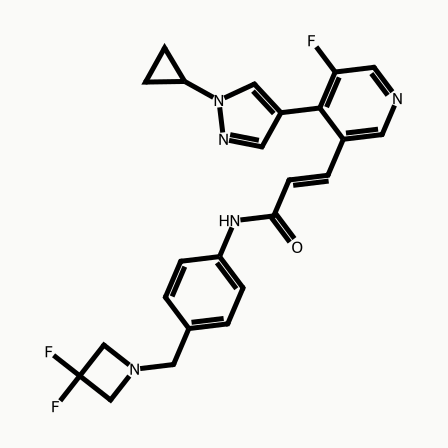 O=C(/C=C/c1cncc(F)c1-c1cnn(C2CC2)c1)Nc1ccc(CN2CC(F)(F)C2)cc1